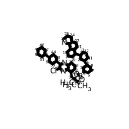 CC1(C)OB(c2cccc(-c3cccc(-c4cccc5c4ccc4cccnc45)c3)c2)OC1(C)Cc1cccc2nc(-c3ccc(-c4ccccc4)cc3)c(Cl)nc12